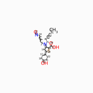 CC=C=C=CCN(C=C=C=CN=O)c1cc(C2=CCC(O)CC2)sc1C(=O)O